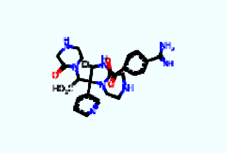 CCC(NC(=O)c1ccc(C(=N)N)cc1)C(c1cccnc1)(C(C(=O)O)N1CCNCC1=O)N1CCNCC1=O